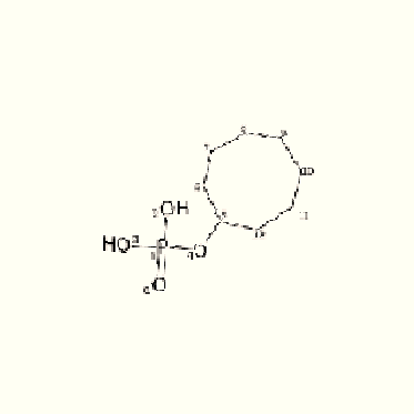 O=P(O)(O)OC1CCCCCCC1